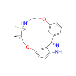 C[C@@H]1COc2ccc3[nH]nc(c3c2)-c2cccc(c2)OCCN[C@H]1C